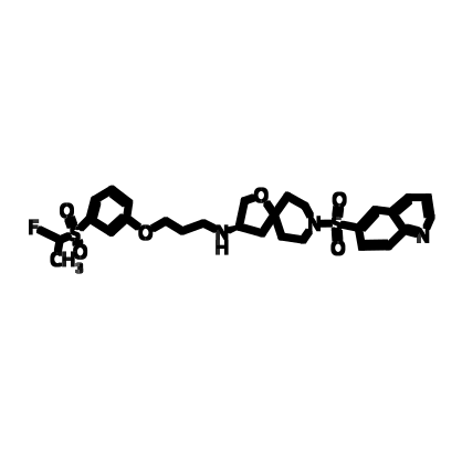 CC(F)S(=O)(=O)c1cccc(OCCCN[C@H]2COC3(CCN(S(=O)(=O)c4ccc5ncccc5c4)CC3)C2)c1